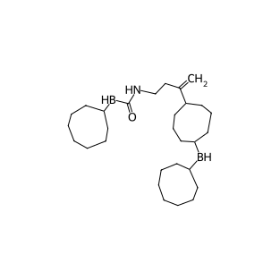 C=C(CCNC(=O)BC1CCCCCCC1)C1CCCC(BC2CCCCCCC2)CCC1